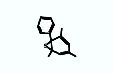 CC1=CC2(C)SC2(c2ccccc2)C(C)=C1